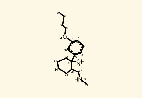 CCCCOc1cccc(C2(O)CCCCC2CNC)c1